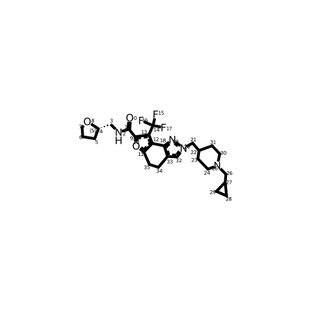 O=C(NC[C@@H]1CCCO1)c1oc2c(c1C(F)(F)F)-c1nn(CC3CCN(CC4CC4)CC3)cc1CC2